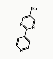 CC(C)(C)c1cnc(-c2ccncc2)nc1